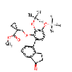 [2H]C([2H])([2H])Oc1ccc(-c2cccc3c2CCC3=O)c(OCC2(C(=O)OC)CC2)c1OC([2H])([2H])[2H]